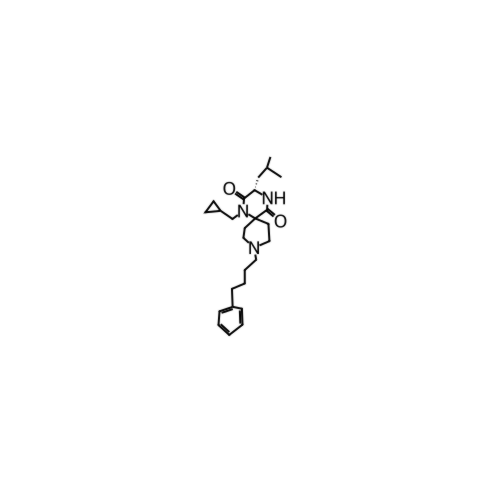 CC(C)C[C@@H]1NC(=O)C2(CCN(CCCCc3ccccc3)CC2)N(CC2CC2)C1=O